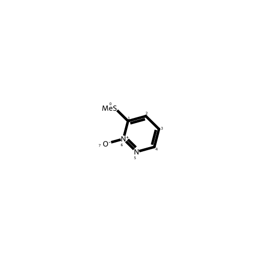 [CH2]Sc1cccn[n+]1[O-]